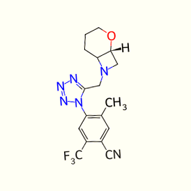 Cc1cc(C#N)c(C(F)(F)F)cc1-n1nnnc1CN1C[C@H]2OCCCC21